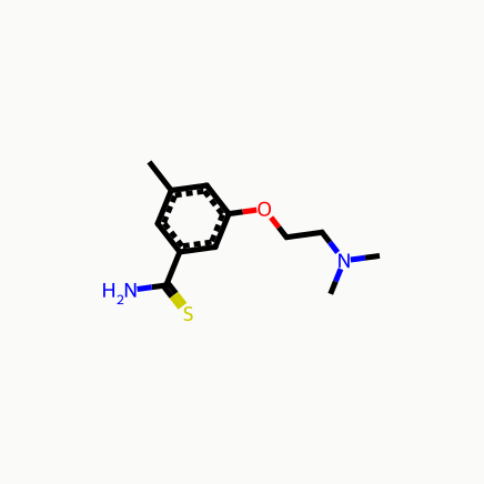 Cc1cc(OCCN(C)C)cc(C(N)=S)c1